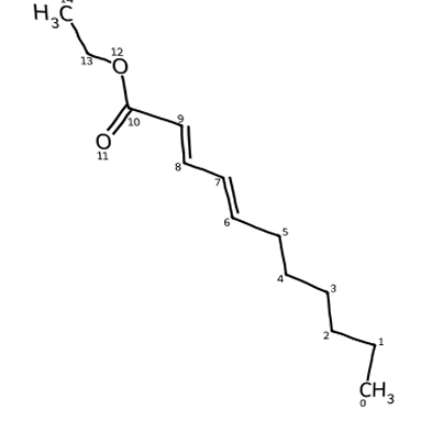 CCCCCC/C=C/C=C/C(=O)OCC